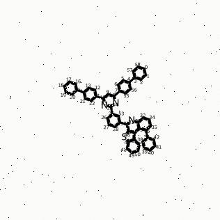 c1ccc(-c2ccc(-c3cc(-c4ccc(-c5ccccc5)cc4)nc(-c4cccc(-c5nc6cccc(-c7ccccc7)c6c6c5sc5ccccc56)c4)n3)cc2)cc1